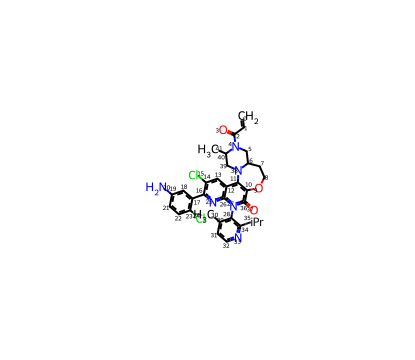 C=CC(=O)N1CC2CCOc3c(c4cc(Cl)c(-c5cc(N)ccc5Cl)nc4n(-c4c(C)ccnc4C(C)C)c3=O)N2CC1C